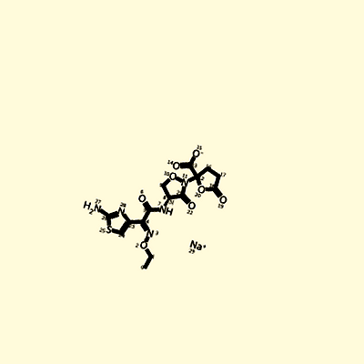 CCON=C(C(=O)N[C@H]1CON(C2(C(=O)[O-])CCC(=O)O2)C1=O)c1csc(N)n1.[Na+]